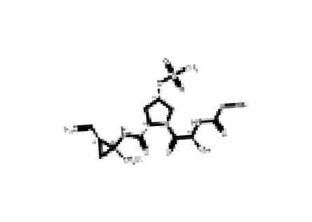 C=C[C@@H]1C[C@]1(NC(=O)[C@@H]1C[C@H](OS(C)(=O)=O)CN1C(=O)[C@@H](NC(=O)OC(C)(C)C)C(C)(C)C)C(=O)OCC